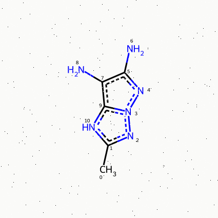 Cc1nn2nc(N)c(N)c2[nH]1